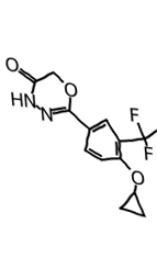 O=C1COC(c2ccc(OC3CC3)c(C(F)(F)F)c2)=NN1